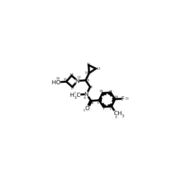 Cc1cc(C(=O)N(C)CC(C2CC2)N2CC(O)C2)ccc1F